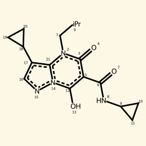 CC(C)Cn1c(=O)c(C(=O)NC2CC2)c(O)n2ncc(C3CC3)c12